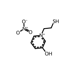 O=[N+]([O-])[O-].Oc1ccc[n+](CCS)c1